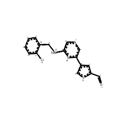 O=Cc1cc(-c2cncc(NCc3ccccc3Cl)n2)cs1